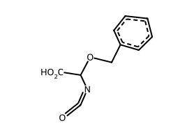 O=C=NC(OCc1ccccc1)C(=O)O